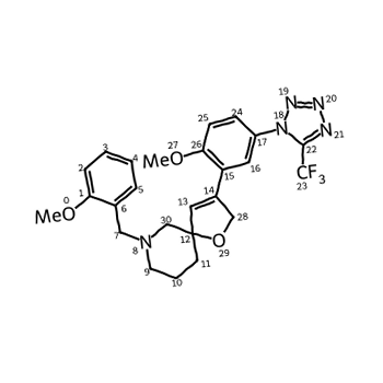 COc1ccccc1CN1CCCC2(C=C(c3cc(-n4nnnc4C(F)(F)F)ccc3OC)CO2)C1